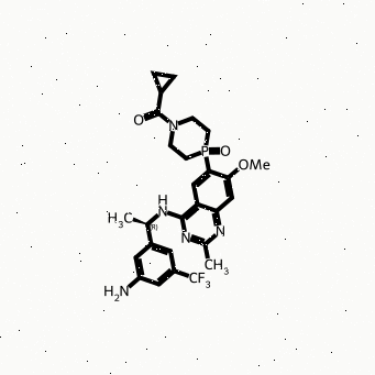 COc1cc2nc(C)nc(N[C@H](C)c3cc(N)cc(C(F)(F)F)c3)c2cc1P1(=O)CCN(C(=O)C2CC2)CC1